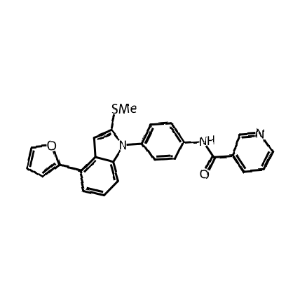 CSc1cc2c(-c3ccco3)cccc2n1-c1ccc(NC(=O)c2cccnc2)cc1